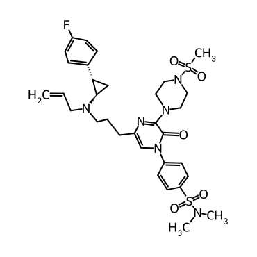 C=CCN(CCCc1cn(-c2ccc(S(=O)(=O)N(C)C)cc2)c(=O)c(N2CCN(S(C)(=O)=O)CC2)n1)[C@@H]1C[C@H]1c1ccc(F)cc1